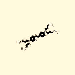 CCCCN(CCCC)c1ccc(C=Cc2ccc(N(CCCC)CCCC)cc2)cc1